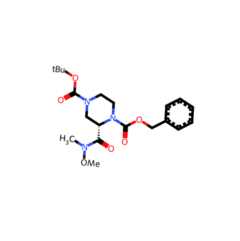 CON(C)C(=O)[C@@H]1CN(C(=O)OC(C)(C)C)CCN1C(=O)OCc1ccccc1